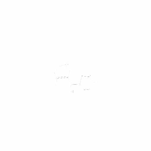 CC(c1cc(F)ccc1F)C1CCCCC1